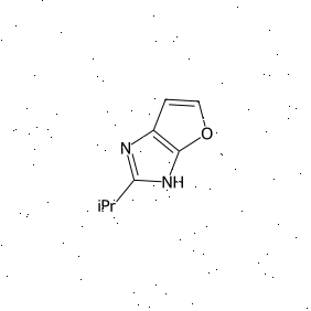 CC(C)c1nc2ccoc2[nH]1